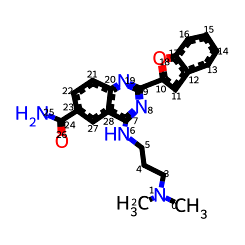 CN(C)CCCNc1nc(-c2cc3ccccc3o2)nc2ccc(C(N)=O)cc12